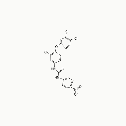 O=C(Nc1ccc([N+](=O)[O-])cc1)Nc1ccc(Oc2ccc(Cl)c(Cl)c2)c(Cl)c1